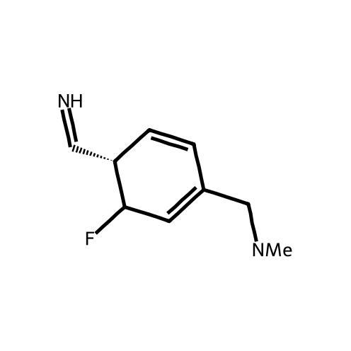 CNCC1=CC(F)[C@H](C=N)C=C1